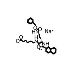 O=C([O-])CCCCCNC(=O)[C@H](CCCNC(=O)OCc1ccccc1)NC(=O)c1ccc2ccccc2c1.[Na+]